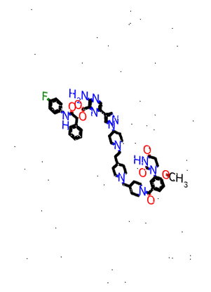 COc1ccc(C(=O)N2CCC(CN3CCC(CCN4CCC(n5cc(-c6cnc(N)c(C(=O)O[C@@H](C(=O)Nc7ccc(F)cc7)c7ccccc7)n6)cn5)CC4)CC3)CC2)cc1N1CCC(=O)NC1=O